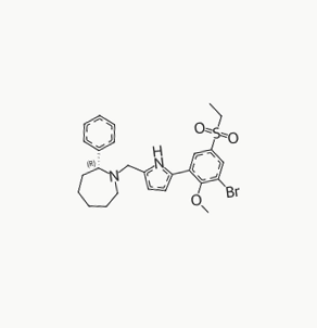 CCS(=O)(=O)c1cc(Br)c(OC)c(-c2ccc(CN3CCCCC[C@@H]3c3ccccc3)[nH]2)c1